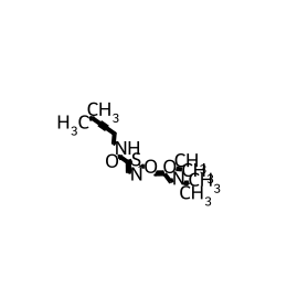 CC(C)C#CCCNC(=O)c1cnc(O/C=C2/CN(C(C)C)C(C)(C)O2)s1